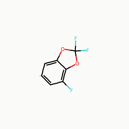 Fc1c[c]cc2c1OC(F)(F)O2